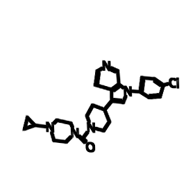 O=C(N1CCC(c2cn(-c3ccc(Cl)cc3)c3cnccc23)CC1)N1CCN(C2CC2)CC1